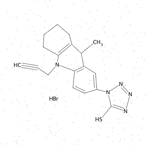 Br.C#CCN1C2=C(CCCC2)C(C)c2cc(-n3nnnc3S)ccc21